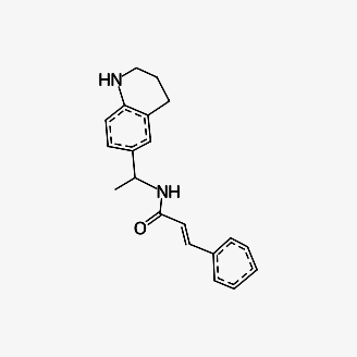 CC(NC(=O)C=Cc1ccccc1)c1ccc2c(c1)CCCN2